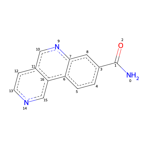 NC(=O)c1ccc2c(c1)ncc1ccncc12